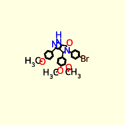 COc1ccc(-c2n[nH]c3c2C(c2ccc(OC)c(OC)c2)N(c2ccc(Br)cc2)C3=O)cc1